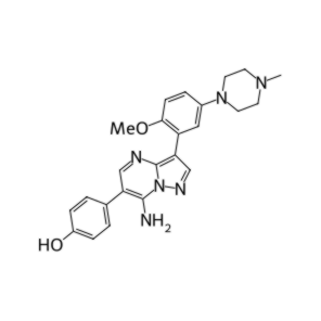 COc1ccc(N2CCN(C)CC2)cc1-c1cnn2c(N)c(-c3ccc(O)cc3)cnc12